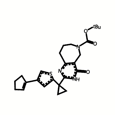 CC(C)(C)OC(=O)N1CCCc2nc(C3(c4cc(C5=CCCC5)cs4)CC3)[nH]c(=O)c2C1